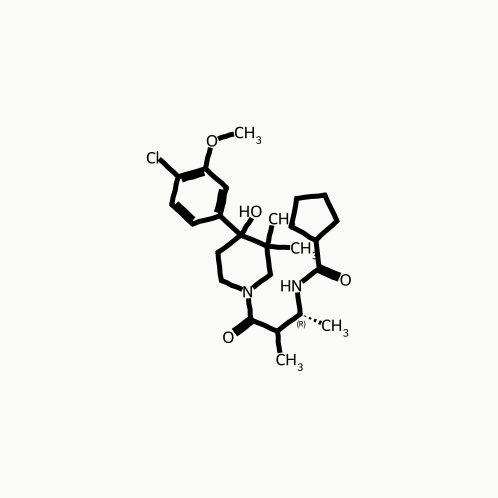 COc1cc(C2(O)CCN(C(=O)C(C)[C@@H](C)NC(=O)C3CCCC3)CC2(C)C)ccc1Cl